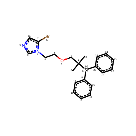 CC(C)(COCCn1cncc1Br)[SiH](c1ccccc1)c1ccccc1